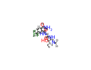 CCCC(O)C(CN(C)C(C)C)NC(=O)CNC(=O)c1cc(C(F)(F)F)ccc1C(N)=O